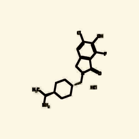 CC(N)[C@H]1CC[C@H](CN2Cc3cc(Cl)c(O)c(F)c3C2=O)CC1.Cl